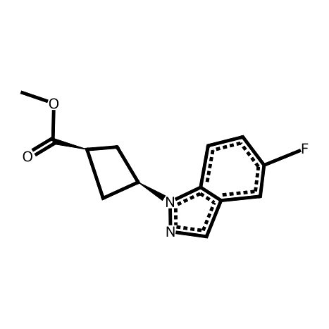 COC(=O)[C@H]1C[C@@H](n2ncc3cc(F)ccc32)C1